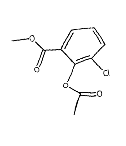 COC(=O)c1cccc(Cl)c1OC(C)=O